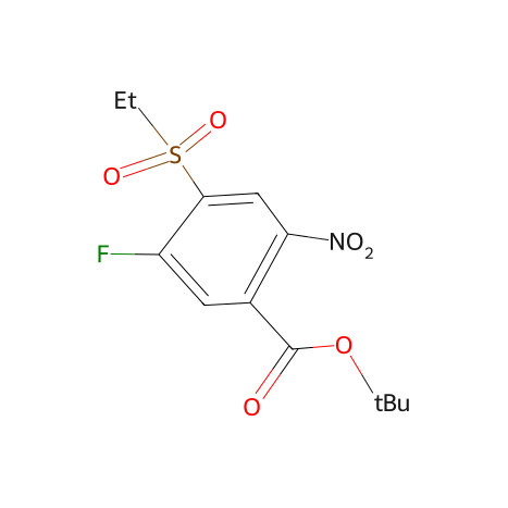 CCS(=O)(=O)c1cc([N+](=O)[O-])c(C(=O)OC(C)(C)C)cc1F